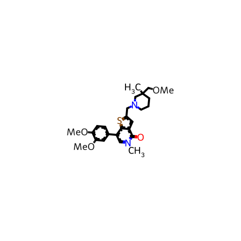 COCC1(C)CCCN(Cc2cc3c(=O)n(C)cc(-c4ccc(OC)c(OC)c4)c3s2)C1